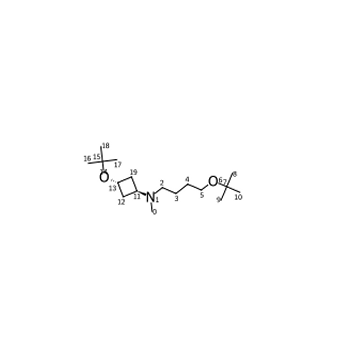 CN(CCCCOC(C)(C)C)[C@H]1C[C@H](OC(C)(C)C)C1